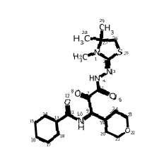 CN1C(=NNC(=O)C(=O)C(NC(=O)C2CCCCC2)C2CCOCC2)SCC1(C)C